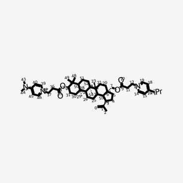 C=C(C)[C@@H]1CC[C@]2(COC(=O)CC[n+]3ccc(C(C)C)cc3)CC[C@]3(C)C(CCC4[C@@]5(C)CC[C@H](OC(=O)CC[n+]6ccc(N(C)C)cc6)C(C)(C)C5CC[C@]43C)C12